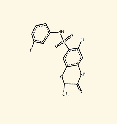 CC1Oc2cc(S(=O)(=O)Nc3cccc(F)c3)c(Cl)cc2NC1=O